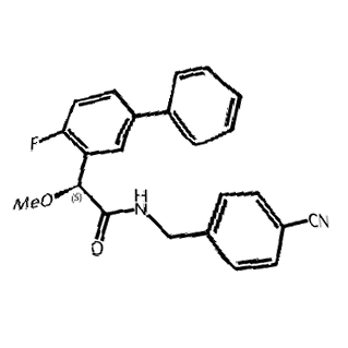 CO[C@H](C(=O)NCc1ccc(C#N)cc1)c1cc(-c2ccccc2)ccc1F